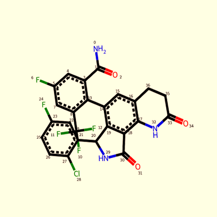 NC(=O)c1cc(F)cc(C(F)(F)F)c1-c1cc2c(c3c1C(c1cc(F)ccc1Cl)NC3=O)NC(=O)CC2